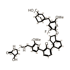 COc1nc(-c2cccc(-c3cccc4c3CC[C@@H]4Oc3nc(OC)c(CN4CC5(C(=O)O)CCC4CC5)cc3C(F)(F)F)c2Cl)ccc1CNC[C@@H]1CC(O)C(=O)N1